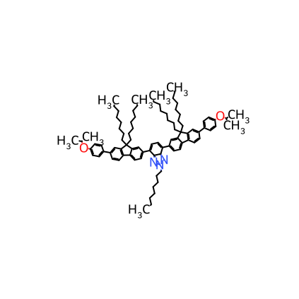 CCCCCCCCn1nc2c(-c3ccc4c(c3)C(CCCCCCCC)(CCCCCCCC)c3cc(-c5ccc(OC(C)C)cc5)ccc3-4)ccc(-c3ccc4c(c3)C(CCCCCCCC)(CCCCCCCC)c3cc(-c5ccc(OC(C)C)cc5)ccc3-4)c2n1